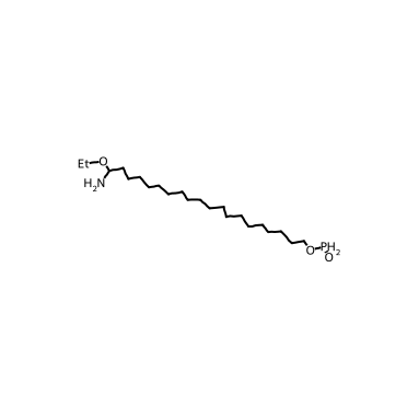 CCOC(N)CCCCCCCCCCCCCCCCCCCO[PH2]=O